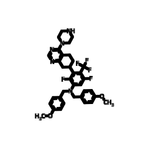 COc1ccc(CN(Cc2ccc(OC)cc2)c2cc(F)c(C(F)(F)F)c(C3CCc4c(ncnc4N4CCNCC4)C3)c2F)cc1